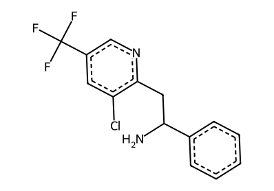 NC(Cc1ncc(C(F)(F)F)cc1Cl)c1ccccc1